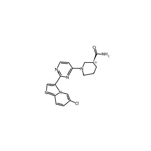 NC(=O)[C@H]1CCCN(c2ccnc(-c3cnc4ccc(Cl)cn34)n2)C1